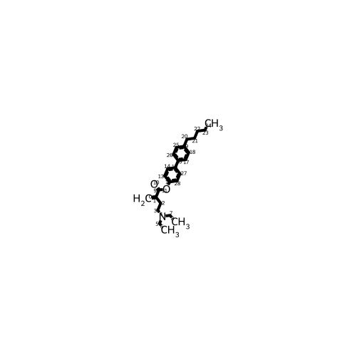 C=C(CCN(CC)CC)C(=O)Oc1ccc(-c2ccc(CCCCC)cc2)cc1